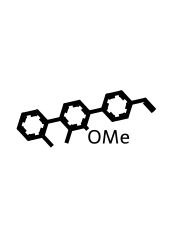 C=Cc1ccc(-c2ccc(-c3ccccc3C)c(C)c2OC)cc1